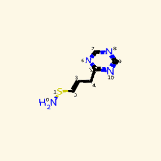 NSC=CCc1ncncn1